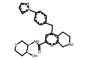 O=C(N[C@@H]1COCC[C@@H]1O)c1cc(Cc2ccc(-n3cccn3)cc2)c2c(n1)CNCC2